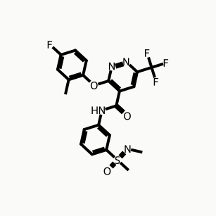 CN=S(C)(=O)c1cccc(NC(=O)c2cc(C(F)(F)F)nnc2Oc2ccc(F)cc2C)c1